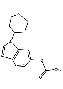 CC(=O)Oc1ccc2ccn(C3CCNCC3)c2c1